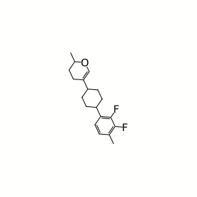 Cc1ccc(C2CCC(C3=COC(C)CC3)CC2)c(F)c1F